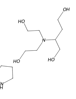 C1CCNC1.OCCC(CO)N(CCO)CCO